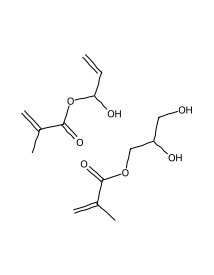 C=C(C)C(=O)OCC(O)CO.C=CC(O)OC(=O)C(=C)C